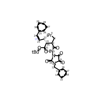 CC(C)CC(C(=O)NN1C(=O)C(=O)N(Cc2ccccc2)C1=O)[C@@H](C/C=C\c1ccccc1)C(=O)OC(C)(C)C